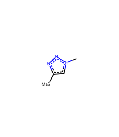 CSc1cn(C)nn1